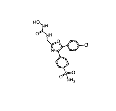 NS(=O)(=O)c1ccc(-c2nc(CNC(=O)NO)oc2-c2ccc(Cl)cc2)cc1